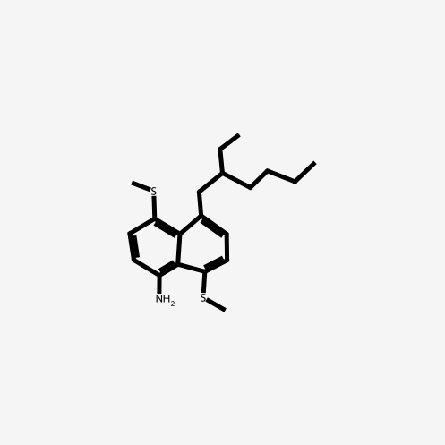 CCCCC(CC)Cc1ccc(SC)c2c(N)ccc(SC)c12